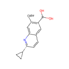 COc1cc2nc(C3CC3)ccc2cc1B(O)O